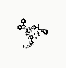 CCn1nnc([C@H]2O[C@@H](n3cnc4c(NCC(c5ccccc5)c5ccccc5)nc(N5CC[C@@H](NC(=NC#N)NCc6ccccn6)C5)nc43)[C@@H](O)[C@@H]2O)n1